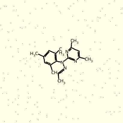 CC=NN(c1nc(C)cc(C)n1)c1c(C)cc(C)cc1C